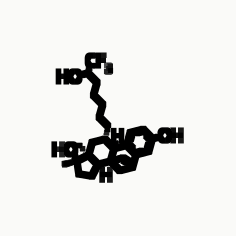 C=CC12CCc3cc(O)ccc3[C@H]1[C@@H](CCCCC[C@@H](O)C(F)(F)F)C[C@@]1(C)[C@H]2CC[C@]1(C)O